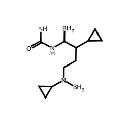 BC(NC(=O)S)C(CCN(B)C1CC1)C1CC1